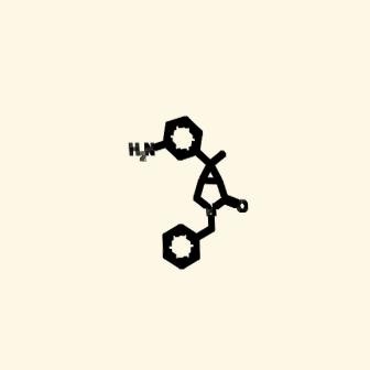 CC1(c2cccc(N)c2)C2CN(Cc3ccccc3)C(=O)C21